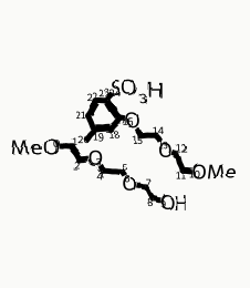 COCCOCCOCCO.COCCOCCOc1cc(C)ccc1S(=O)(=O)O